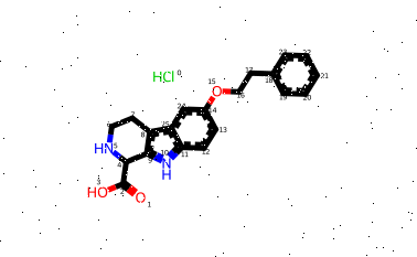 Cl.O=C(O)C1NCCc2c1[nH]c1ccc(OCCc3ccccc3)cc21